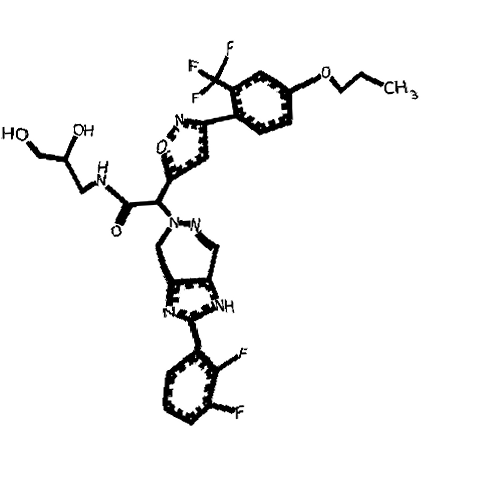 CCCOc1ccc(-c2cc(C(C(=O)NCC(O)CO)N3Cc4nc(-c5cccc(F)c5F)[nH]c4C=N3)on2)c(C(F)(F)F)c1